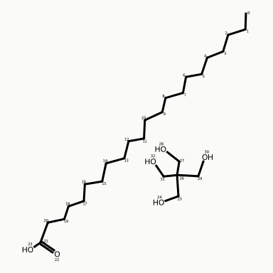 CCCCCCCCCCCCCCCCCCCCCC(=O)O.OCC(CO)(CO)CO